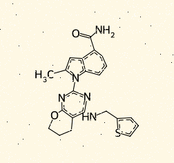 Cc1cc2c(C(N)=O)cccc2n1-c1nc(NCc2cccs2)c2c(n1)OCCC2